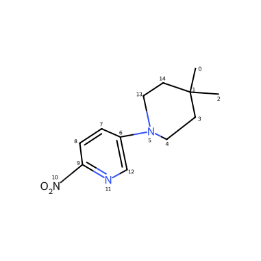 CC1(C)CCN(c2ccc([N+](=O)[O-])nc2)CC1